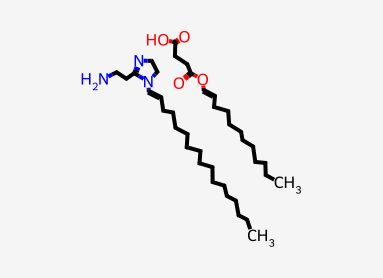 CCCCCCCCCCC=COC(=O)CCC(=O)O.CCCCCCCCCCCCCCCC=CN1CCN=C1CCN